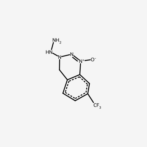 NNN1Cc2ccc(C(F)(F)F)cc2[N+]([O-])=N1